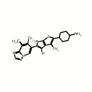 Cc1c(-c2[nH]c3sc(C4CCC(N)CC4)c(C)c3c2C(C)C)cn2ncnc2c1C